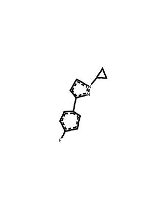 Fc1ccc(-c2ccn(C3CC3)n2)cc1